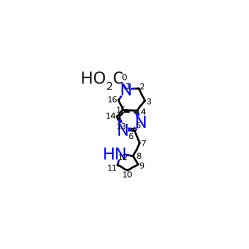 O=C(O)N1CCc2nc(CC3CCCN3)ncc2C1